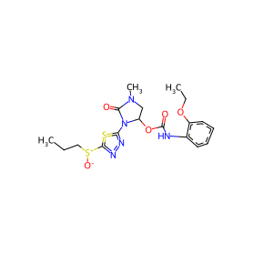 CCC[S+]([O-])c1nnc(N2C(=O)N(C)CC2OC(=O)Nc2ccccc2OCC)s1